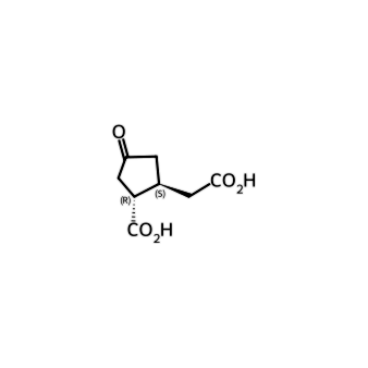 O=C(O)C[C@@H]1CC(=O)C[C@H]1C(=O)O